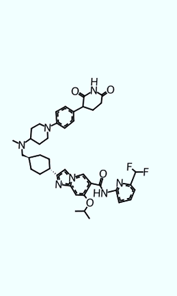 CC(C)Oc1cc2nc([C@H]3CC[C@H](CN(C)C4CCN(c5ccc(C6CCC(=O)NC6=O)cc5)CC4)CC3)cn2cc1C(=O)Nc1cccc(C(F)F)n1